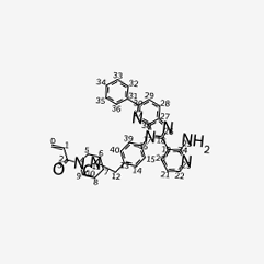 C=CC(=O)N1CC2CCC1CN2Cc1ccc(-n2c(-c3cccnc3N)nc3ccc(-c4ccccc4)nc32)cc1